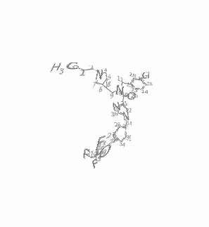 CCCN1CC2C(C1)C2CN(Cc1cccc(Cl)c1)C(=O)c1cn(Cc2ccc(OC(F)(F)F)cc2)cn1